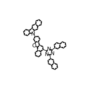 c1ccc2cc(-c3nc(-c4ccc5ccccc5c4)nc(-c4cc5c6ccc(-n7c8ccccc8c8cc9ccccc9cc87)cc6oc5c5ccccc45)n3)ccc2c1